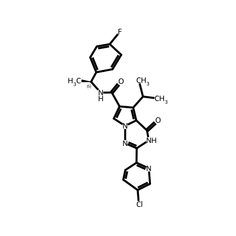 CC(C)c1c(C(=O)N[C@@H](C)c2ccc(F)cc2)cn2nc(-c3ccc(Cl)cn3)[nH]c(=O)c12